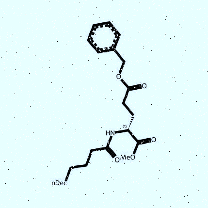 CCCCCCCCCCCCCC(=O)N[C@H](CCC(=O)OCc1ccccc1)C(=O)OC